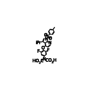 Cc1ccc(S(=O)(=O)n2cc(C(C)C)c3c(Oc4c(F)cc(N(C(=O)O)C(=O)O)cc4F)ccnc32)cc1